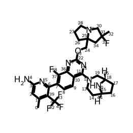 Cc1cc(N)nc(-c2ccc3c(N4CC[C@H]5CC[C@@H](C4)N5)nc(OCC45CCCN4CC(C)(F)C5)nc3c2F)c1C(F)(F)F